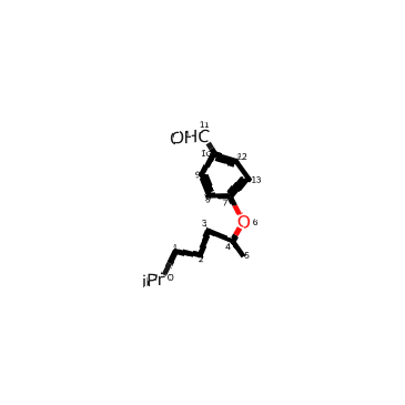 CC(C)CCCC(C)Oc1ccc(C=O)cc1